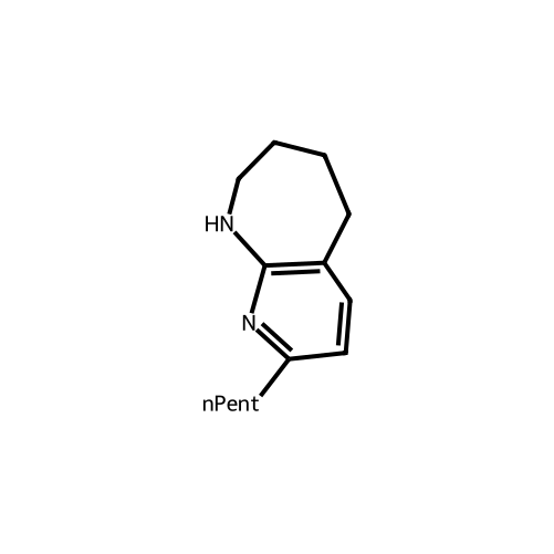 CCCCCc1ccc2c(n1)NCCCC2